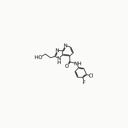 O=C(Nc1ccc(F)c(Cl)c1)c1ccnc2nc(CCO)[nH]c12